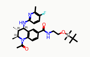 CC(=O)N1c2ccc(C(=O)NCCO[Si](C)(C)C(C)(C)C)cc2[C@H](Nc2ccc(F)c(C)n2)[C@@H](C)[C@@H]1C